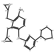 Nc1ccc(Oc2cccc(C3CCCCC3)c2)c(CC2CO2)c1CC1CO1